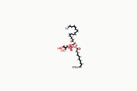 CC/C=C\C/C=C\C/C=C\C/C=C\C/C=C\CCCC(=O)O[C@H](COC(=O)CCCCCCC/C=C\CCCCCCCCC)COP(=O)(O)OC[C@@H](O)CO